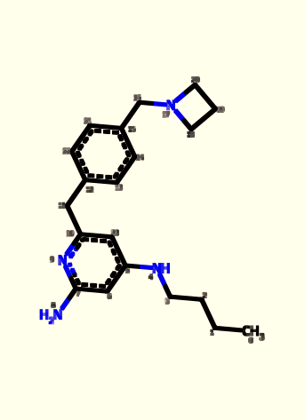 CCCCNc1cc(N)nc(Cc2ccc(CN3CCC3)cc2)c1